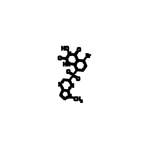 Cn1ccc2ncc(S(=O)(=O)c3ccc(Br)c4c(=O)n(O)c(=O)[nH]c34)nc21